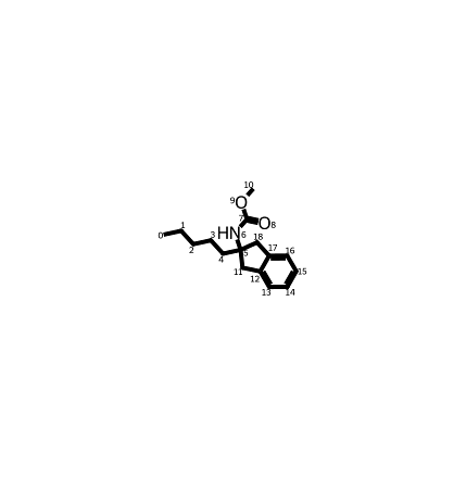 CCCCCC1(NC(=O)OC)Cc2ccccc2C1